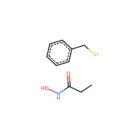 CCC(=O)NO.SCc1ccccc1